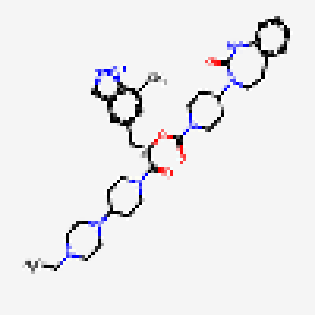 CCN1CCN(C2CCN(C(=O)[C@@H](Cc3cc(C)c4[nH]ncc4c3)OC(=O)N3CCC(N4CCc5ccccc5NC4=O)CC3)CC2)CC1